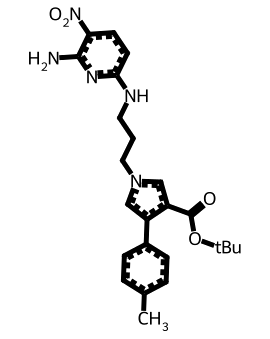 Cc1ccc(-c2cn(CCCNc3ccc([N+](=O)[O-])c(N)n3)cc2C(=O)OC(C)(C)C)cc1